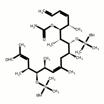 C=C/C=C\[C@H](C)[C@H](OC(N)=O)[C@@H](C)[C@H](O[Si](C)(C)C(C)(C)C)[C@@H](C)C/C(C)=C\[C@H](C)[C@@H](O[Si](C)(C)C(C)(C)C)[C@@H](C)/C=C(/C)C=O